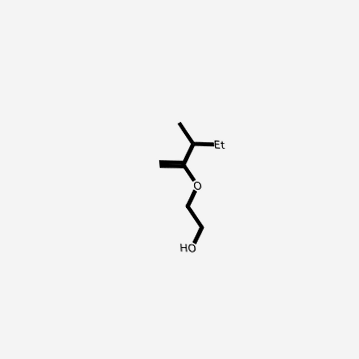 C=C(OCCO)C(C)CC